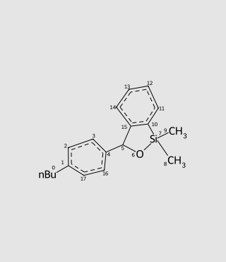 CCCCc1ccc(C2O[Si](C)(C)c3ccccc32)cc1